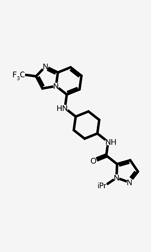 CC(C)n1nccc1C(=O)NC1CCC(Nc2cccc3nc(C(F)(F)F)cn23)CC1